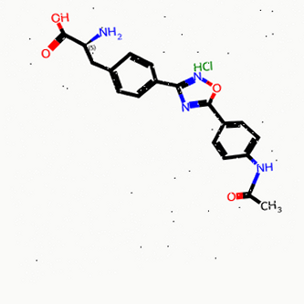 CC(=O)Nc1ccc(-c2nc(-c3ccc(C[C@H](N)C(=O)O)cc3)no2)cc1.Cl